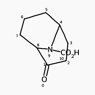 O=C1CCC2CCCC1N2C(=O)O